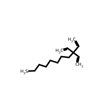 C=CC(C=C)(C=C)CCCCCCC[SiH3]